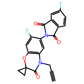 C#CCN1C(=O)C2(CC2)Oc2cc(F)c(N3C(=O)c4ccc(F)cc4C3=O)cc21